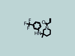 C=CC(=O)N1CCCC(C)(Nc2cccc(C(F)(F)F)c2)C1